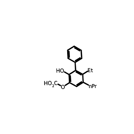 CCCc1cc(OC(=O)O)c(O)c(-c2ccccc2)c1CC